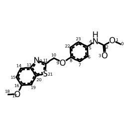 COC(=O)Nc1ccc(OCc2nc3ccc(OC)cc3s2)cc1